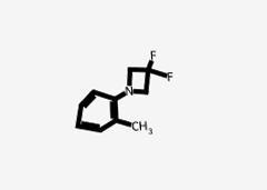 Cc1ccc[c]c1N1CC(F)(F)C1